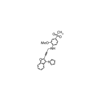 COc1cc(S(C)(=O)=O)ccc1NCC#Cc1oc2ccccc2c1-n1cccc1